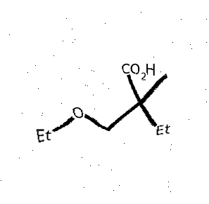 CCOCC(C)(CC)C(=O)O